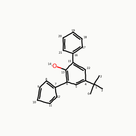 CC(C)(C)c1cc(-c2ccccc2)c([O])c(-c2ccccc2)c1